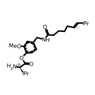 COc1cc(CNC(=O)CCCC/C=C/C(C)C)ccc1OC(=O)[C@H](N)C(C)C